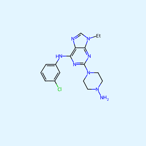 CCn1cnc2c(Nc3cccc(Cl)c3)nc(N3CCN(N)CC3)nc21